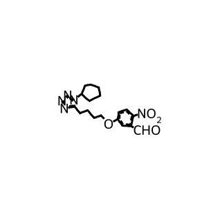 O=Cc1cc(OCCCCc2nnnn2C2CCCCC2)ccc1[N+](=O)[O-]